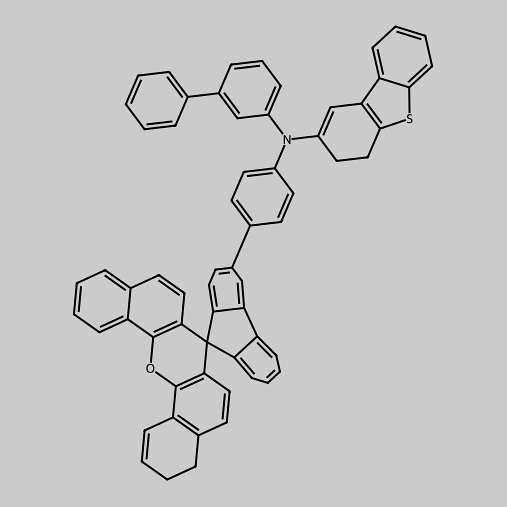 C1=Cc2c(ccc3c2Oc2c(ccc4ccccc24)C32c3ccccc3-c3cc(-c4ccc(N(C5=Cc6c(sc7ccccc67)CC5)c5cccc(-c6ccccc6)c5)cc4)ccc32)CC1